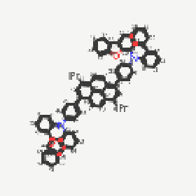 CC(C)c1cc(-c2ccc(N(c3ccccc3-c3ccccc3)c3cccc4c3oc3ccccc34)cc2)c2ccc3c(C(C)C)cc(-c4ccc(N(c5ccccc5-c5ccccc5)c5cccc6c5oc5ccccc56)cc4)c4ccc1c2c43